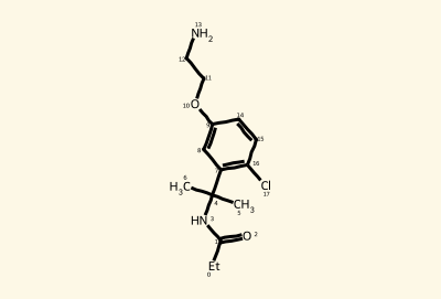 CCC(=O)NC(C)(C)c1cc(OCCN)ccc1Cl